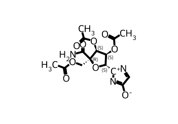 CC(=O)OC[C@@]1(C(N)=O)O[C@@H]([C+]2N=CC([O-])=N2)[C@H](OC(C)=O)[C@@H]1OC(C)=O